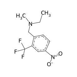 CCN(C)Cc1ccc([N+](=O)[O-])cc1C(F)(F)F